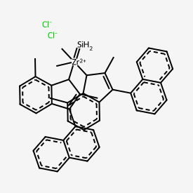 CC1=C(c2cccc3ccccc23)c2cccc(C)c2[CH]1[Zr+2]([CH3])([CH3])(=[SiH2])[CH]1C(C)=C(c2cccc3ccccc23)c2cccc(C)c21.[Cl-].[Cl-]